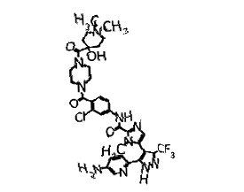 Cn1c(-c2c(C(F)(F)F)n[nH]c2-c2ccc(N)cn2)cnc1C(=O)Nc1ccc(C(=O)N2CCN(C(=O)C3(O)CC[N+](C)(C)CC3)CC2)c(Cl)c1